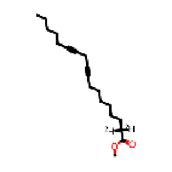 [2H]C([2H])(CCCCCCC#CCC#CCCCCC)C(=O)OC